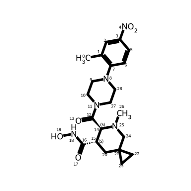 Cc1cc([N+](=O)[O-])ccc1N1CCN(C(=O)[C@@H]2[C@@H](C(=O)NO)CC3(CC3)CN2C)CC1